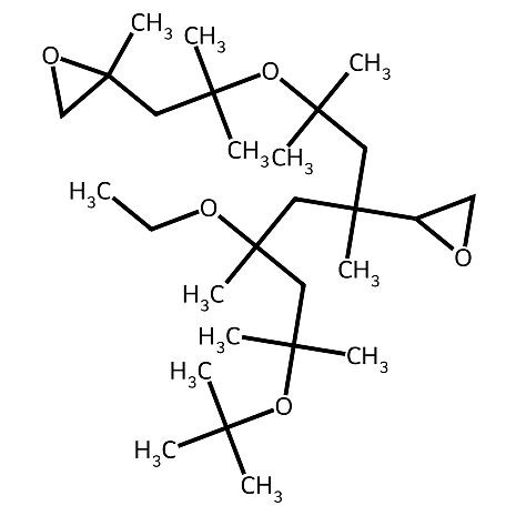 CCOC(C)(CC(C)(C)OC(C)(C)C)CC(C)(CC(C)(C)OC(C)(C)CC1(C)CO1)C1CO1